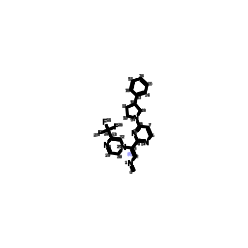 C=N/C=C(/c1nccc(N2CCC(c3ccccc3)C2)n1)N1C=C(C(F)(F)F)N=CC1